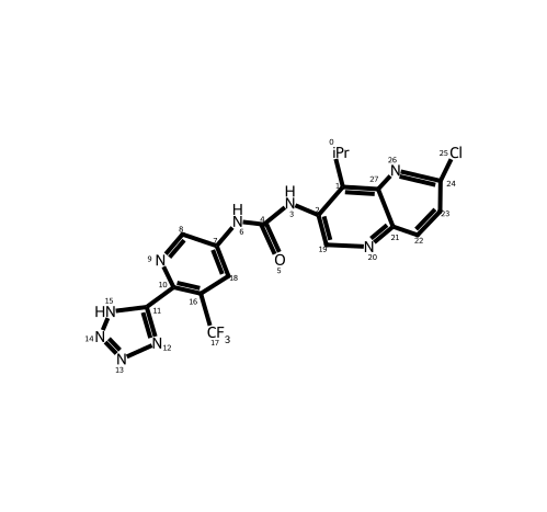 CC(C)c1c(NC(=O)Nc2cnc(-c3nnn[nH]3)c(C(F)(F)F)c2)cnc2ccc(Cl)nc12